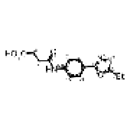 CCc1nnc(-c2ccc(NC(=O)CCC(=O)O)cc2)o1